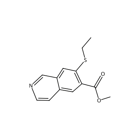 CCSc1cc2cnccc2cc1C(=O)OC